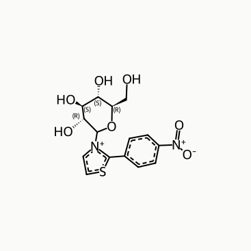 O=[N+]([O-])c1ccc(-c2scc[n+]2C2O[C@H](CO)[C@@H](O)[C@H](O)[C@H]2O)cc1